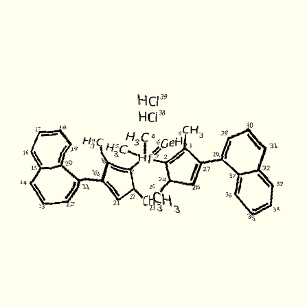 CC1=[C]([Hf]([CH3])([CH3])(=[GeH2])[C]2=C(C)C(c3cccc4ccccc34)=CC2C)C(C)C=C1c1cccc2ccccc12.Cl.Cl